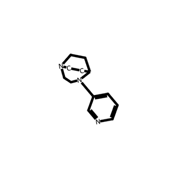 c1cncc(N2CCN3CCC2CC3)c1